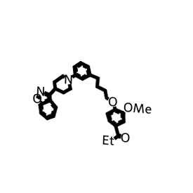 CCC(=O)c1ccc(OCCCCc2cccc(N3CCC(c4noc5ccccc45)CC3)c2)c(OC)c1